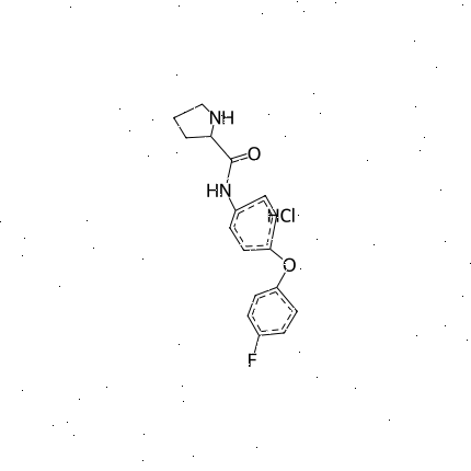 Cl.O=C(Nc1ccc(Oc2ccc(F)cc2)cc1)C1CCCN1